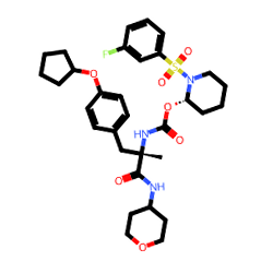 C[C@@](Cc1ccc(OC2CCCC2)cc1)(NC(=O)O[C@H]1CCCCN1S(=O)(=O)c1cccc(F)c1)C(=O)NC1CCOCC1